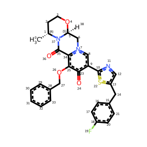 C[C@@H]1CCO[C@H]2Cn3cc(-c4ncc(Cc5ccc(F)cc5)s4)c(=O)c(OCc4ccccc4)c3C(=O)N12